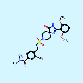 COc1cccc(OC)c1C1=NC2(CCN(S(=O)(=O)CCc3ccc(C(=O)N(C)C)cc3C)CC2)C(=O)N1